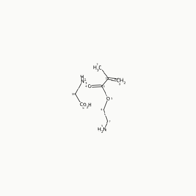 C=C(C)C(=O)OCCN.NCC(=O)O